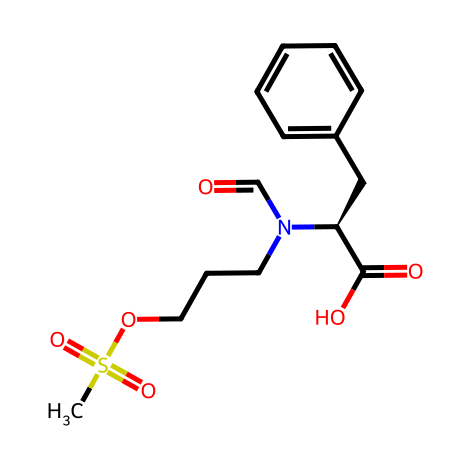 CS(=O)(=O)OCCCN(C=O)[C@@H](Cc1ccccc1)C(=O)O